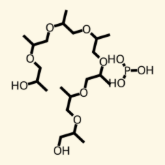 CC(O)COC(C)COC(C)COC(C)COC(C)COC(C)COC(C)CO.OP(O)O